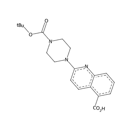 CC(C)(C)OC(=O)N1CCN(c2ccc3c(C(=O)O)cccc3n2)CC1